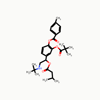 Cc1ccc(C(=O)Oc2ccc(C(CNC(C)(C)C)OC(=O)CC(C)C)cc2OC(=O)C(C)(C)C)cc1